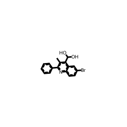 Cc1c(-c2ccccc2)nc2ccc(Br)cc2c1C(O)O